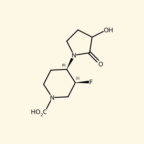 O=C(O)N1CC[C@@H](N2CCC(O)C2=O)[C@@H](F)C1